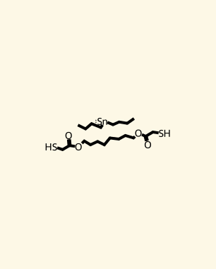 CCC[CH2][Sn][CH2]CCC.O=C(CS)OCCCCCCCCOC(=O)CS